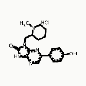 CN1CCCCC1Cn1c(=O)[nH]c2ncc(-c3ccc(O)cc3)nc21.Cl